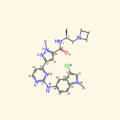 C[C@@H](CN1CCC1)NC(=O)c1cc(-c2ccnc(Nc3ccc4c(c3)c(Cl)cn4C)n2)nn1C